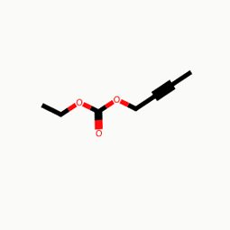 CC#CCOC(=O)OCC